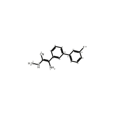 N#C/C(NN)=C(/N)c1cccc(-c2cccc(F)c2)c1